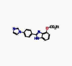 CCOC(=O)Oc1cccc2[nH]c(-c3ccc(-n4ccnc4)cc3)nc12